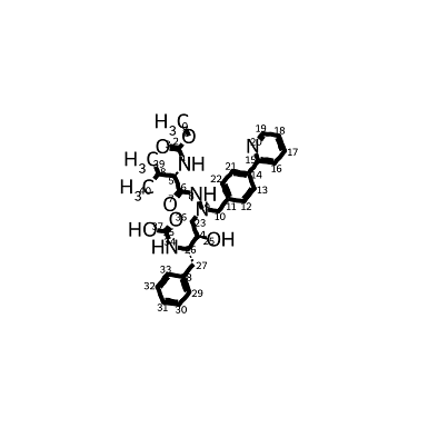 COC(=O)N[C@H](C(=O)NN(Cc1ccc(-c2ccccn2)cc1)C[C@@H](O)[C@H](Cc1ccccc1)NC(=O)O)C(C)C